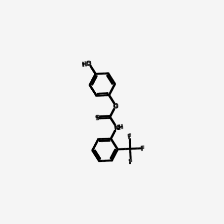 Oc1ccc(OC(=S)Nc2ccccc2C(F)(F)F)cc1